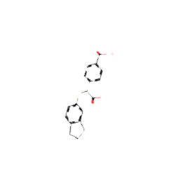 O=C(O)c1ccc(C(Sc2ccc3c(c2)CCC3)C(=O)O)cc1